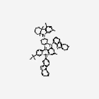 Cc1cc2c3c(c1)N(c1cccc4c1sc1ccccc14)c1cc(N4c5cc(C)cc(C)c5C5(C)CCCCC45C)ccc1B3c1ccc(C(C)(C)C)cc1N2c1ccc2c(c1)sc1ccccc12